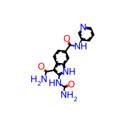 NC(=O)Nc1[nH]c2cc(C(=O)Nc3cccnc3)ccc2c1C(N)=O